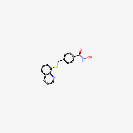 O=C(NO)c1ccc(CSc2cccc3cccnc23)cc1